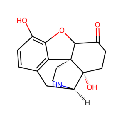 O=C1CC[C@@]2(O)[C@H]3Cc4ccc(O)c5c4[C@@]2(CCN3)C1O5